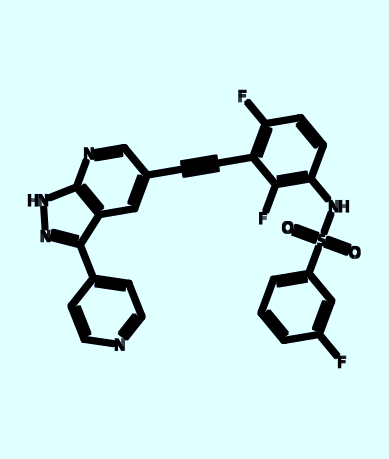 O=S(=O)(Nc1ccc(F)c(C#Cc2cnc3[nH]nc(-c4ccncc4)c3c2)c1F)c1cccc(F)c1